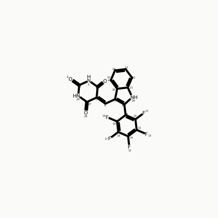 O=C1NC(=O)C(=Cc2c(-c3c(F)c(F)c(F)c(F)c3F)[nH]c3ccccc23)C(=O)N1